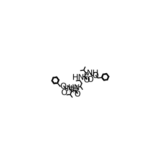 CC(CC(C)NC(=O)[C@@H](NC(=O)OCc1ccccc1)C(C)C)NC(=O)[C@@H](NC(=O)OCc1ccccc1)C(C)C